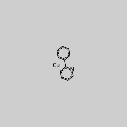 [Cu].c1ccc(-c2ccccn2)cc1